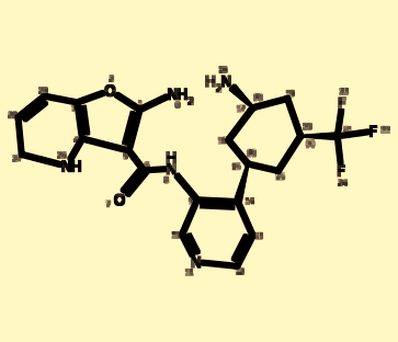 Nc1oc2c(c1C(=O)Nc1cnccc1[C@H]1C[C@@H](N)C[C@@H](C(F)(F)F)C1)NCC=C2